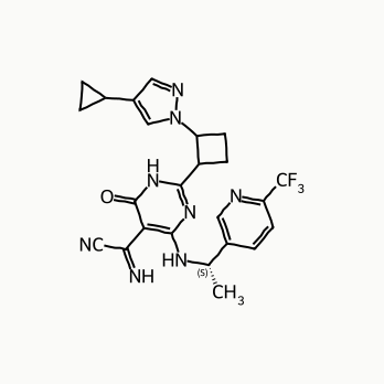 C[C@H](Nc1nc(C2CCC2n2cc(C3CC3)cn2)[nH]c(=O)c1C(=N)C#N)c1ccc(C(F)(F)F)nc1